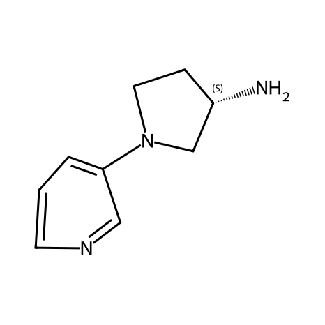 N[C@H]1CCN(c2cccnc2)C1